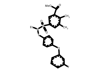 CCN(Sc1ccc(Oc2cccc(F)c2)cc1)S(=O)(=O)c1cc(C)c(C)c(C(=O)OC)c1